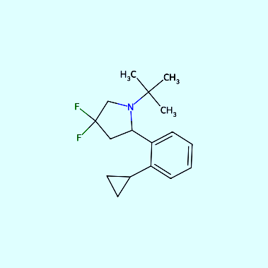 CC(C)(C)N1CC(F)(F)CC1c1ccccc1C1CC1